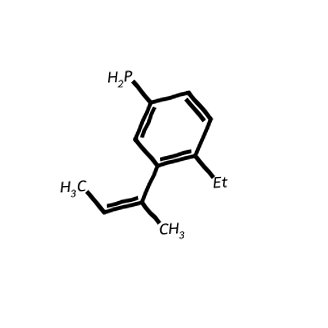 C/C=C(/C)c1cc(P)ccc1CC